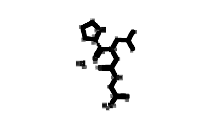 CC(C)CN(CC(=O)NCC(N)=O)C(=O)[C@@H]1CCCN1.Cl